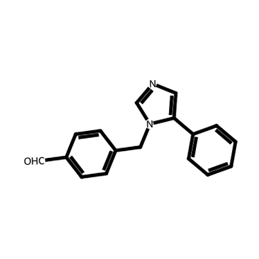 O=Cc1ccc(Cn2cncc2-c2ccccc2)cc1